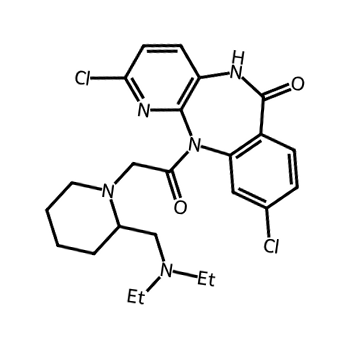 CCN(CC)CC1CCCCN1CC(=O)N1c2cc(Cl)ccc2C(=O)Nc2ccc(Cl)nc21